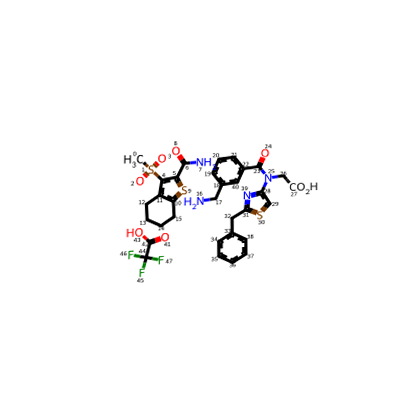 CS(=O)(=O)c1c(C(N)=O)sc2c1CCCC2.NCc1cccc(C(=O)N(CC(=O)O)c2csc(Cc3ccccc3)n2)c1.O=C(O)C(F)(F)F